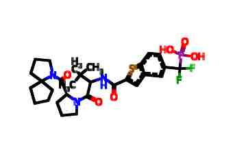 CC(C)(C)C(NC(=O)c1cc2cc(C(F)(F)P(=O)(O)O)ccc2s1)C(=O)N1CCC[C@H]1C(=O)N1CCCC12CCCC2